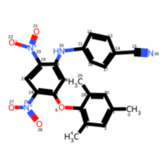 Cc1cc(C)c(Oc2cc(Nc3ccc(C#N)cc3)c([N+](=O)[O-])cc2[N+](=O)[O-])c(C)c1